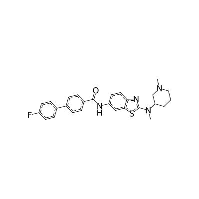 CN1CCCC(N(C)c2nc3ccc(NC(=O)c4ccc(-c5ccc(F)cc5)cc4)cc3s2)C1